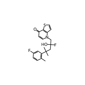 Cc1ccc(F)cc1C(C)(C)CC(O)(F)Cn1ccc(=O)c2sccc21